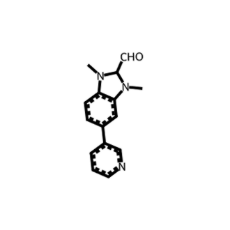 CN1c2ccc(-c3cccnc3)cc2N(C)C1C=O